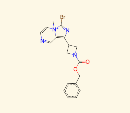 C[N+]12C=CN=CC1=C(C1CN(C(=O)OCc3ccccc3)C1)N=C2Br